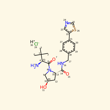 CC(C)(C)[C@H](N)C(=O)N1C[C@H](O)C[C@H]1C(=O)NCc1ccc(-c2cncs2)cc1.[Cl-].[H+]